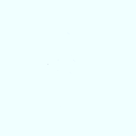 CCOc1cc(CN2CN(c3ccc(SC(F)(F)F)cc3)C(C(=O)C=O)C2(C)C)ccn1